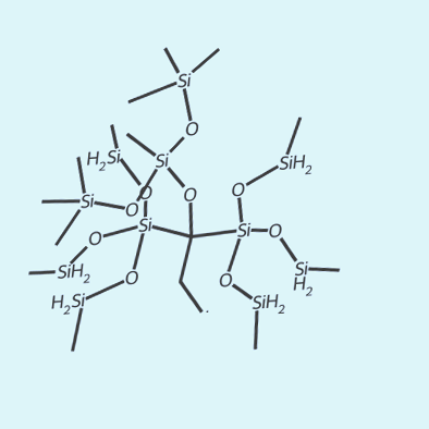 [CH2]CC(O[Si](C)(O[Si](C)(C)C)O[Si](C)(C)C)([Si](O[SiH2]C)(O[SiH2]C)O[SiH2]C)[Si](O[SiH2]C)(O[SiH2]C)O[SiH2]C